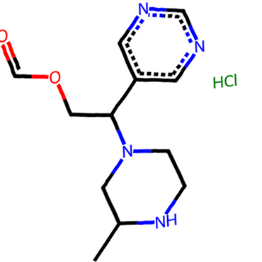 CC1CN(C(COC=O)c2cncnc2)CCN1.Cl